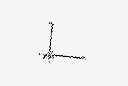 CCCCCCCCCCCCCCCCCC(=O)OC(CC)(OOB(O)O)OC(=O)CCCCCCCCCCCCCCCCC